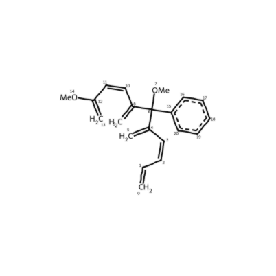 C=C/C=C\C(=C)C(OC)(C(=C)/C=C\C(=C)OC)c1ccccc1